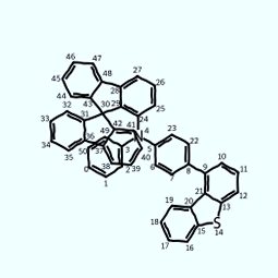 c1ccc(N(c2ccc(-c3cccc4sc5ccccc5c34)cc2)c2cccc3c2C2(c4ccccc4-c4ccccc42)c2ccccc2-3)cc1